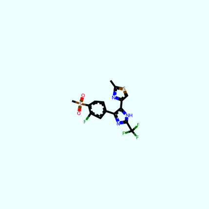 Cc1nc(-c2[nH]c(C(F)(F)F)nc2-c2ccc(S(C)(=O)=O)c(F)c2)cs1